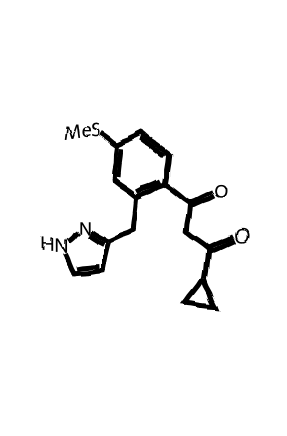 CSc1ccc(C(=O)CC(=O)C2CC2)c(Cc2cc[nH]n2)c1